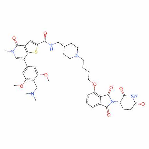 COc1cc(-c2cn(C)c(=O)c3cc(C(=O)NCC4CCN(CCCCOc5cccc6c5C(=O)N(C5CCC(=O)NC5=O)C6=O)CC4)sc23)cc(OC)c1CN(C)C